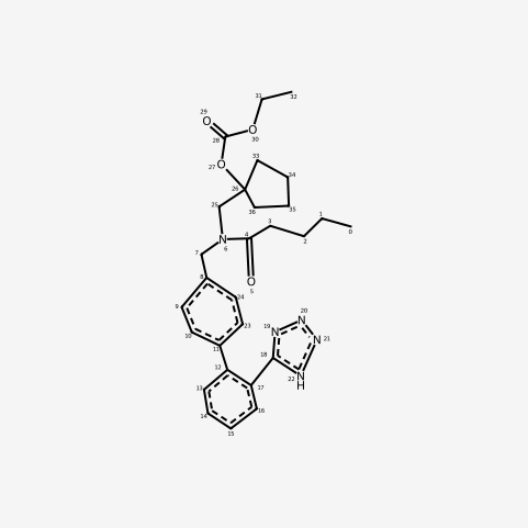 CCCCC(=O)N(Cc1ccc(-c2ccccc2-c2nnn[nH]2)cc1)CC1(OC(=O)OCC)CCCC1